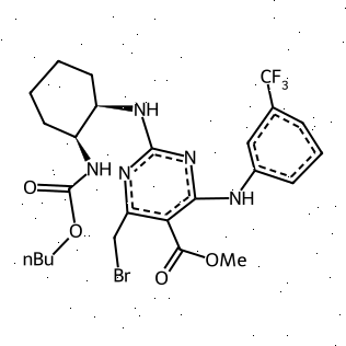 CCCCOC(=O)N[C@H]1CCCC[C@H]1Nc1nc(CBr)c(C(=O)OC)c(Nc2cccc(C(F)(F)F)c2)n1